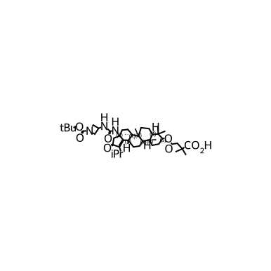 CC(C)C1=C2[C@H]3CC[C@@H]4[C@@]5(C)CC[C@H](OC(=O)CC(C)(C)C(=O)O)C(C)(C)[C@@H]5CC[C@@]4(C)[C@]3(C)CC[C@@]2(NC(=O)NC2CN(C(=O)OC(C)(C)C)C2)CC1=O